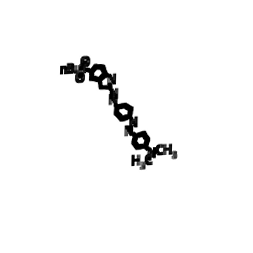 CCCCS(=O)(=O)c1ccc2c(c1)CC(N=Nc1ccc(N=Nc3ccc(N(C)C)cc3)cc1)=N2